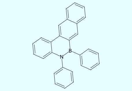 c1ccc(B2c3cc4ccccc4cc3-c3ccccc3N2c2ccccc2)cc1